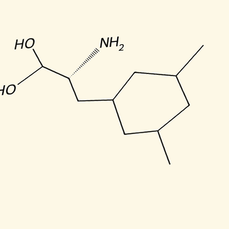 CC1CC(C)CC(C[C@@H](N)C(O)O)C1